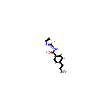 CCC/C=C/c1ccc(C(=O)Nc2nccs2)cc1